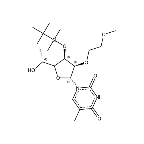 COCCO[C@@H]1[C@H](O[Si](C)(C)C(C)(C)C)C([C@@H](C)O)O[C@H]1n1cc(C)c(=O)[nH]c1=O